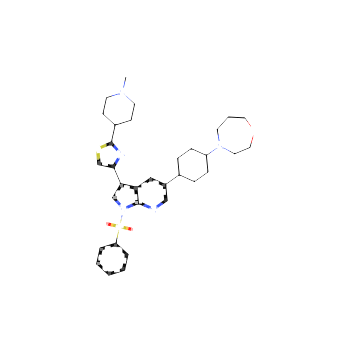 CN1CCC(c2nc(-c3cn(S(=O)(=O)c4ccccc4)c4ncc(C5CCC(N6CCCOCC6)CC5)cc34)cs2)CC1